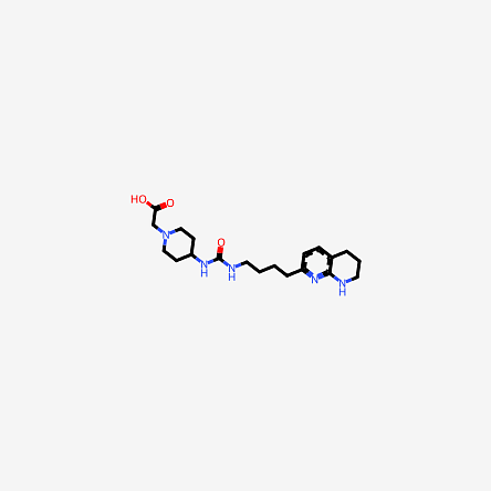 O=C(O)CN1CCC(NC(=O)NCCCCc2ccc3c(n2)NCCC3)CC1